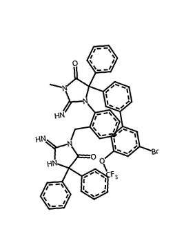 CN1C(=N)N(c2ccccc2CN2C(=N)NC(c3ccccc3)(c3ccccc3)C2=O)C(c2ccccc2)(c2cccc(-c3cc(Br)cc(OC(F)(F)F)c3)c2)C1=O